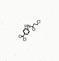 O=C(CCCl)Nc1ccc(C(=O)Cl)cc1